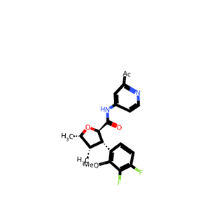 COc1c([C@@H]2[C@H](C)[C@H](C)O[C@H]2C(=O)Nc2ccnc(C(C)=O)c2)ccc(F)c1F